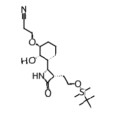 CC(C)(C)[Si](C)(C)OCC[C@@H]1C(=O)N[C@@H]1[C@H]1CCC[C@H](OCCC#N)[C@H]1O